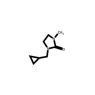 CN1CCN(CC2CC2)C1=O